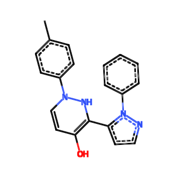 Cc1ccc(N2C=CC(O)=C(c3ccnn3-c3ccccc3)N2)cc1